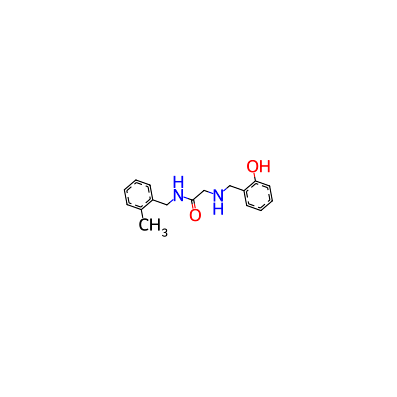 Cc1ccccc1CNC(=O)CNCc1ccccc1O